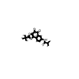 CC(C)C(=O)Nc1ccc2c(c1)C(=O)C(=O)c1oc(C(C)(C)C)nc1-2